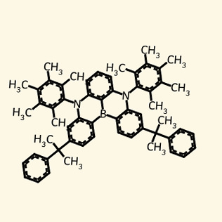 Cc1c(C)c(C)c(N2c3cc(C(C)(C)c4ccccc4)ccc3B3c4ccc(C(C)(C)c5ccccc5)cc4N(c4c(C)c(C)c(C)c(C)c4C)c4cccc2c43)c(C)c1C